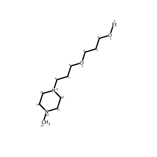 CCOCCCOCCCN1CCN(C)CC1